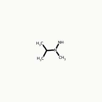 CC(C)N(C)[NH]